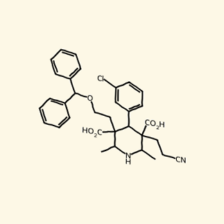 CC1NC(C)C(CCOC(c2ccccc2)c2ccccc2)(C(=O)O)C(c2cccc(Cl)c2)C1(CCC#N)C(=O)O